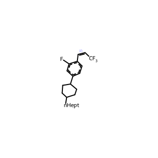 CCCCCCCC1CCC(c2ccc(/C=C\C(F)(F)F)c(F)c2)CC1